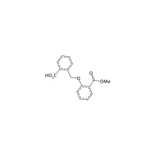 COC(=O)c1ccccc1OCc1ccccc1C(=O)O